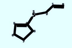 C=CCSC1=CCCC1